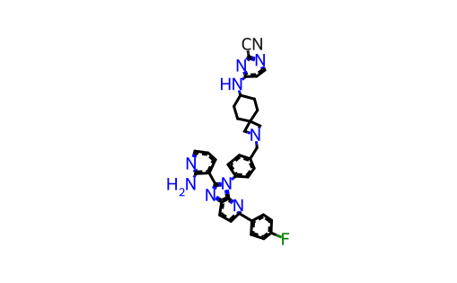 N#Cc1nccc(NC2CCC3(CC2)CN(Cc2ccc(-n4c(-c5cccnc5N)nc5ccc(-c6ccc(F)cc6)nc54)cc2)C3)n1